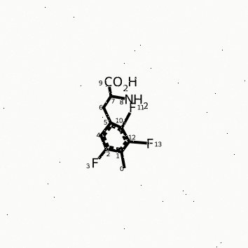 Cc1c(F)cc(CC(N)C(=O)O)c(F)c1F